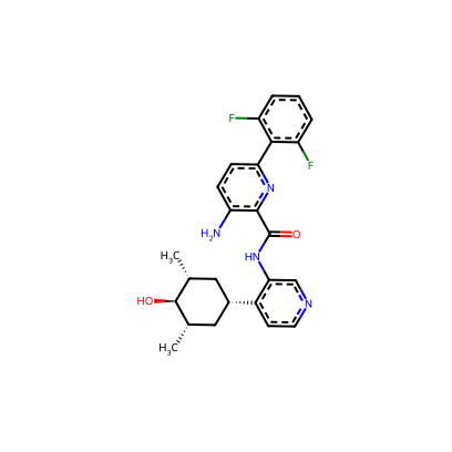 C[C@@H]1C[C@H](c2ccncc2NC(=O)c2nc(-c3c(F)cccc3F)ccc2N)C[C@H](C)[C@H]1O